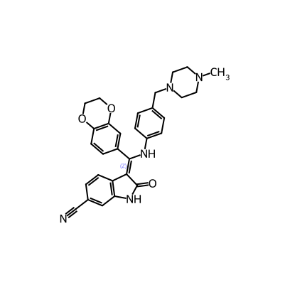 CN1CCN(Cc2ccc(N/C(=C3\C(=O)Nc4cc(C#N)ccc43)c3ccc4c(c3)OCCO4)cc2)CC1